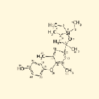 CC[Si](CC)(CC)OC(C)(C)c1cc(C)c(Oc2ccc(O)cc2)c(C)c1